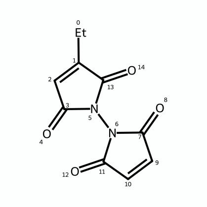 CCC1=CC(=O)N(N2C(=O)C=CC2=O)C1=O